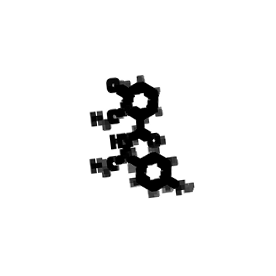 CN(NC(=O)c1cccc(=O)n1C)c1ccc(F)cc1